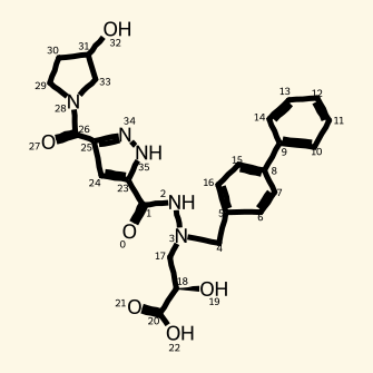 O=C(NN(Cc1ccc(-c2ccccc2)cc1)C[C@@H](O)C(=O)O)c1cc(C(=O)N2CCC(O)C2)n[nH]1